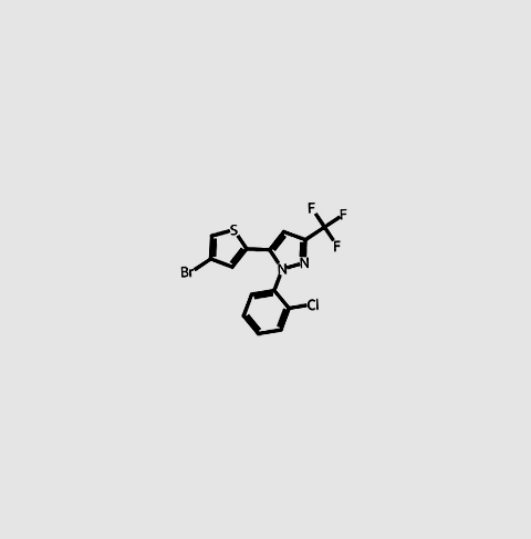 FC(F)(F)c1cc(-c2cc(Br)cs2)n(-c2ccccc2Cl)n1